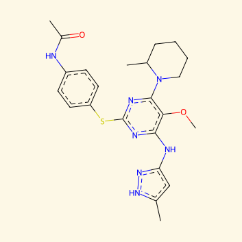 COc1c(Nc2cc(C)[nH]n2)nc(Sc2ccc(NC(C)=O)cc2)nc1N1CCCCC1C